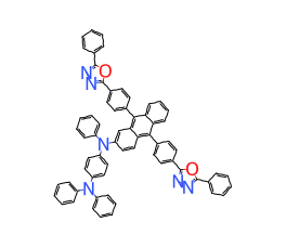 c1ccc(-c2nnc(-c3ccc(-c4c5ccccc5c(-c5ccc(-c6nnc(-c7ccccc7)o6)cc5)c5cc(N(c6ccccc6)c6ccc(N(c7ccccc7)c7ccccc7)cc6)ccc45)cc3)o2)cc1